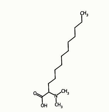 CCCCCCCCCCCC(C(=O)O)N(C)C